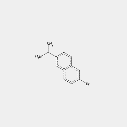 CC(N)c1ccc2cc(Br)ccc2c1